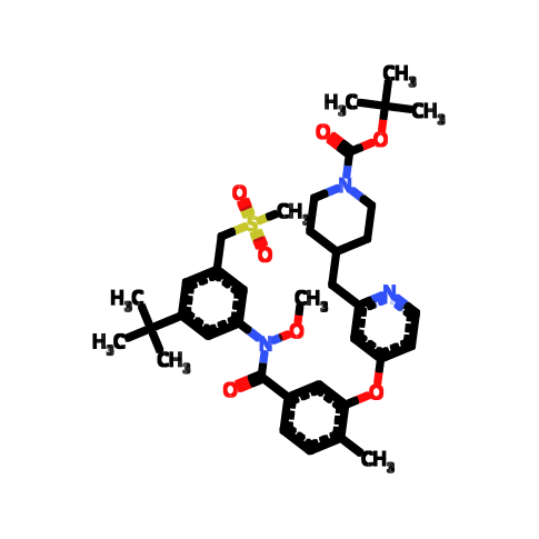 CON(C(=O)c1ccc(C)c(Oc2ccnc(CC3CCN(C(=O)OC(C)(C)C)CC3)c2)c1)c1cc(CS(C)(=O)=O)cc(C(C)(C)C)c1